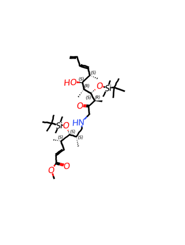 C=CC=C[C@H](C)[C@H](O)[C@@H](C)[C@H](O[Si](C)(C)C(C)(C)C)[C@@H](C)C(=O)CNC[C@H](C)[C@@H](O[Si](C)(C)C(C)(C)C)[C@@H](C)C=CC(=O)OC